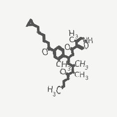 CCCCC(=O)C(C)C(C)CC(CC(=O)C1=CONC=C1C)c1ccc(C(=O)CCCCCC2CC2)cc1C